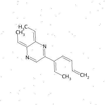 C=C/C=C\C(=C/C)c1cnc(=C/C)/c(=C\C)n1